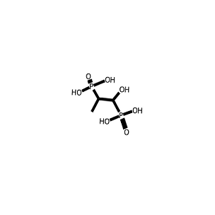 CC(C(O)P(=O)(O)O)P(=O)(O)O